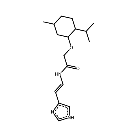 CC1CCC(C(C)C)C(OCC(=O)NC=Cc2c[nH]cn2)C1